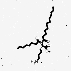 CCCCCCCCCCCC(=O)N(C(=O)CCCCCCC)[C@@H](CCCCN)C(=O)OC